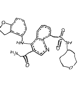 NC(=O)c1cnc2c(S(=O)(=O)NC3CCOCC3)cccc2c1Nc1cccc2c1CCO2